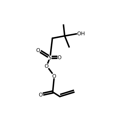 C=CC(=O)OOS(=O)(=O)CC(C)(C)O